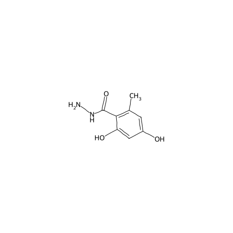 Cc1cc(O)cc(O)c1C(=O)NN